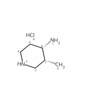 C[C@@H]1CNCC[C@@H]1N.Cl